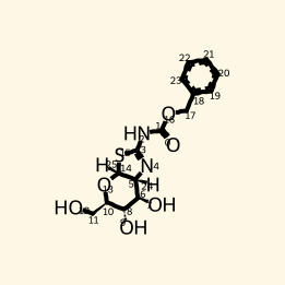 O=C(NC1=N[C@@H]2[C@@H](O)[C@H](O)[C@@H](CO)O[C@@H]2S1)OCc1ccccc1